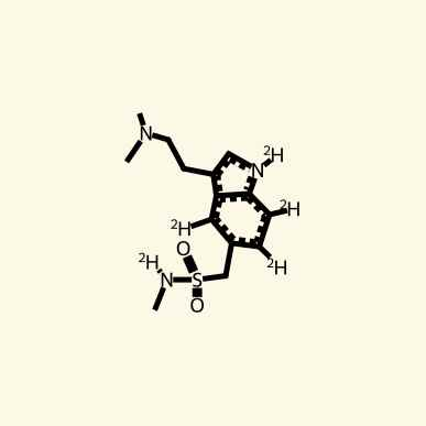 [2H]c1c(CS(=O)(=O)N([2H])C)c([2H])c2c(CCN(C)C)cn([2H])c2c1[2H]